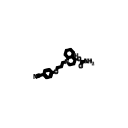 N#Cc1ccc(OCCCN2CC[C@H](OC(N)=O)[C@@H]3CCCCC32)cc1